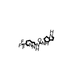 O=C(Nc1ccc2[nH]ccc2c1)Nc1cc2ccc(C(F)(F)F)cn2n1